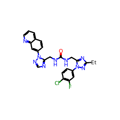 CCc1nc(CNC(=O)NCc2ncnn2-c2ccc3cccnc3c2)n(-c2ccc(Cl)c(F)c2)n1